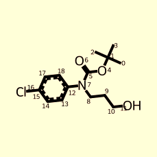 CC(C)(C)OC(=O)N(CCCO)c1ccc(Cl)cc1